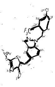 CCCSC1=NC(=O)C(=Cc2ccc3c(cnn3Cc3ccc(Cl)cc3C(F)(F)F)c2)S1